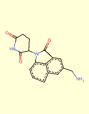 NCc1cc2c3c(cccc3c1)N(C1CCC(=O)NC1=O)C2=O